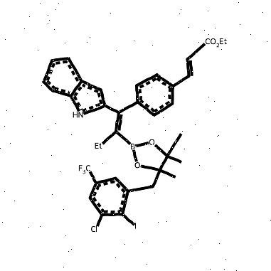 CCOC(=O)/C=C/c1ccc(/C(=C(/CC)B2OC(C)(C)C(C)(Cc3cc(C(F)(F)F)cc(Cl)c3I)O2)c2cc3ccccc3[nH]2)cc1